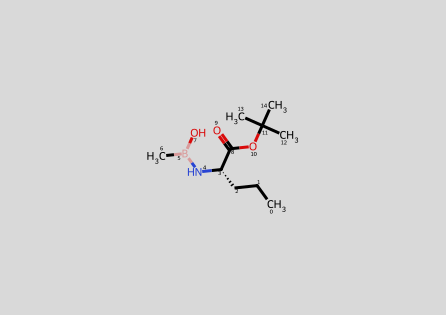 CCC[C@H](NB(C)O)C(=O)OC(C)(C)C